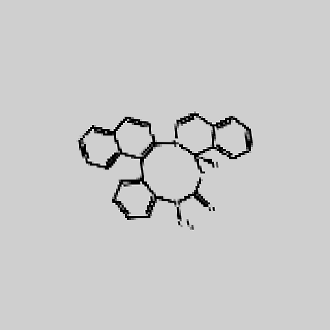 CN1C(=O)O[C@H]2c3ccccc3C=CN2c2ccc3ccccc3c2-c2ccccc21